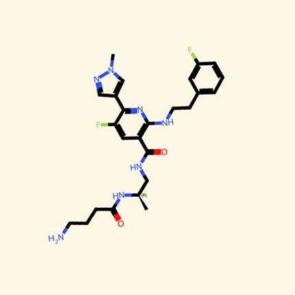 C[C@H](CNC(=O)c1cc(F)c(-c2cnn(C)c2)nc1NCCc1cccc(F)c1)NC(=O)CCCN